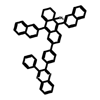 CC12CCCC=C1C(c1ccc3ccccc3c1)=c1cc(-c3ccc(-c4nc5ccccc5nc4-c4ccccc4)cc3)ccc1=C2c1ccc2ccccc2c1